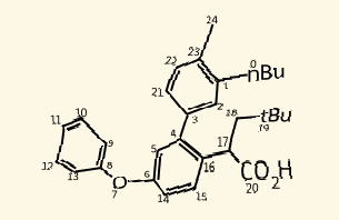 CCCCc1cc(-c2cc(Oc3ccccc3)ccc2C(CC(C)(C)C)C(=O)O)ccc1C